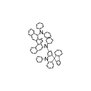 c1ccc(N2c3ccccc3C3(c4ccccc4-c4ccccc43)c3ccc(N(c4ccccc4)c4cc5ccccc5c5c4sc4c(N(c6ccccc6)c6ccccc6)c6ccccc6cc45)cc32)cc1